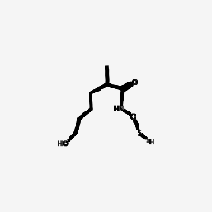 [3H]SONC(=O)C(C)CCCCO